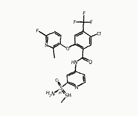 C[SH]=[S@](N)(=O)c1cc(NC(=O)c2cc(Cl)c(C(F)(F)F)cc2Oc2ccc(F)nc2C)ccn1